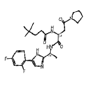 C[C@H](NC(=O)[C@H](CC(=O)N1CCCC1)NC(=O)CCC(C)(C)C)c1ncc(-c2ccc(F)cc2F)[nH]1